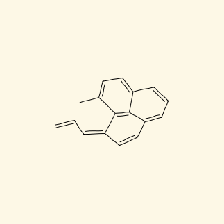 C=C/C=c1/ccc2cccc3ccc(C)c1c32